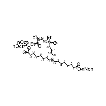 CCCCCCCCCOC(=O)CCCCCCCN(CCCCCCCC(=O)OC(CCCCCCCC)CCCCCCCC)CCCCC(=O)N(CC)CCN(CC)C(=O)CC